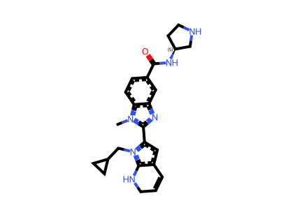 Cn1c(-c2cc3c(n2CC2CC2)NCC=C3)nc2cc(C(=O)N[C@H]3CCNC3)ccc21